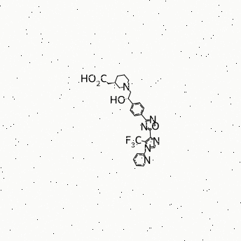 O=C(O)C[C@H]1CCCN(C[C@@H](O)c2ccc(-c3noc(-c4ncn(-c5ccccn5)c4C(F)(F)F)n3)cc2)C1